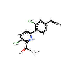 C=Cc1ccc(-c2ccc(Cl)c(C(=O)OC)n2)c(Cl)c1